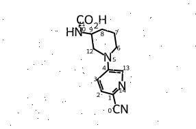 N#Cc1ccc(N2CCCC(NC(=O)O)C2)cn1